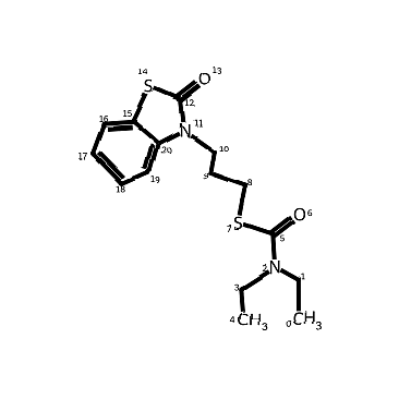 CCN(CC)C(=O)SCCCn1c(=O)sc2ccccc21